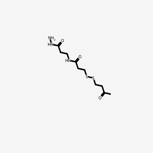 CC(=O)CCSSCCC(=O)NCCC(=O)NN